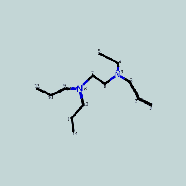 CCCN(CC)CCN(CCC)CCC